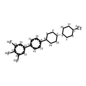 CC[C@H]1CC[C@H](C2CCC(c3ccc(-c4cc(F)c(F)c(F)c4)cc3)CC2)CC1